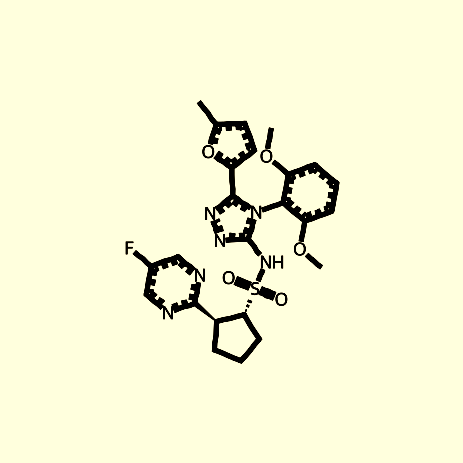 COc1cccc(OC)c1-n1c(NS(=O)(=O)[C@@H]2CCC[C@H]2c2ncc(F)cn2)nnc1-c1ccc(C)o1